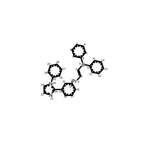 CC(C)C=CB(c1ccccc1)c1ccccc1.c1ccc(-c2nccn2-c2ccccc2)cc1